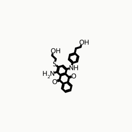 Nc1c(SCCO)cc(Nc2ccc(CCO)cc2)c2c1C(=O)c1ccccc1C2=O